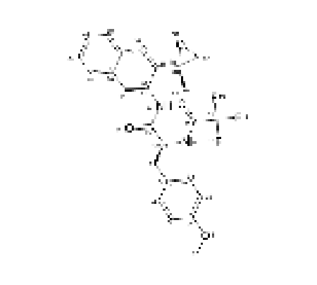 COc1ccc(C[C@H](NC(=O)C(F)(F)F)C(=O)N[C@@H](Cc2ccccc2)C(=O)[C@@]2(C)CO2)cc1